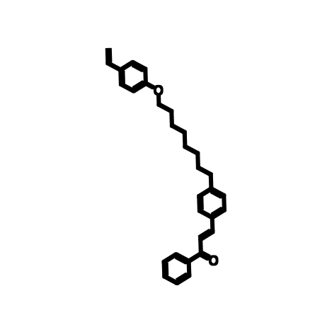 C=Cc1ccc(OCCCCCCCCc2ccc(C=CC(=O)c3ccccc3)cc2)cc1